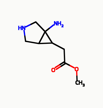 COC(=O)CC1C2CNCC21N